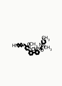 COc1nc(-c2cccc(-c3cccc(NC(=O)c4nc5c(n4C)CCN(C)C5)c3Cl)c2Cl)ccc1CN1CC2(CNC2)C1